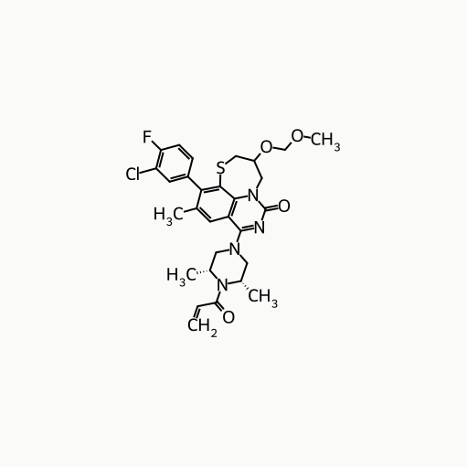 C=CC(=O)N1[C@H](C)CN(c2nc(=O)n3c4c(c(-c5ccc(F)c(Cl)c5)c(C)cc24)SCC(OCOC)C3)C[C@@H]1C